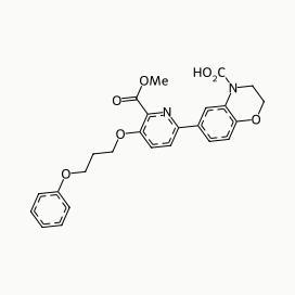 COC(=O)c1nc(-c2ccc3c(c2)N(C(=O)O)CCO3)ccc1OCCCOc1ccccc1